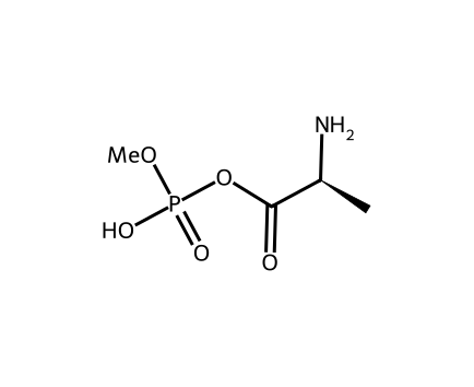 COP(=O)(O)OC(=O)[C@H](C)N